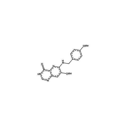 COc1ccc(CNc2nc3c(=O)[nH]cnc3cc2OC)cc1